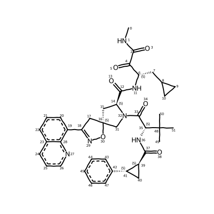 CNC(=O)C(=O)[C@H](CC1CC1)NC(=O)[C@@H]1C[C@]2(CC(c3cccc4cccnc34)=NO2)CN1C(=O)[C@@H](NC(=O)[C@H]1C[C@@H]1c1ccccc1)C(C)(C)C